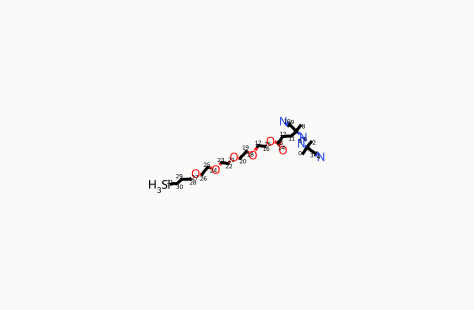 CC(C)(C#N)N=NC(C)(C#N)CCC(=O)OCCOCCOCCOCCOCCC[SiH3]